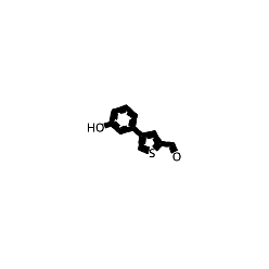 O=Cc1cc(-c2cccc(O)c2)cs1